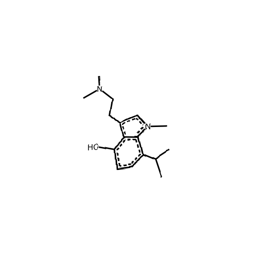 CC(C)c1ccc(O)c2c(CCN(C)C)cn(C)c12